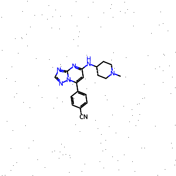 CN1CCC(Nc2cc(-c3ccc(C#N)cc3)n3ncnc3n2)CC1